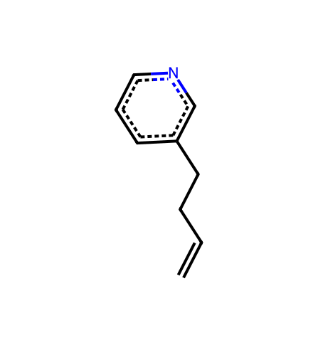 C=CCCc1cccnc1